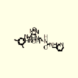 Cc1cc(C)cc(/N=C(\NO)c2nonc2NCCNC(=O)NCc2cccnc2)c1